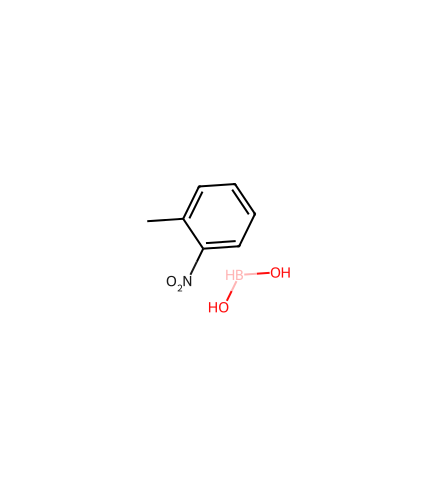 Cc1ccccc1[N+](=O)[O-].OBO